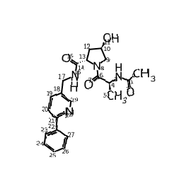 CC(=O)N[C@@H](C)C(=O)N1C[C@H](O)C[C@H]1C(=O)NCc1ccc(-c2ccccc2)nc1